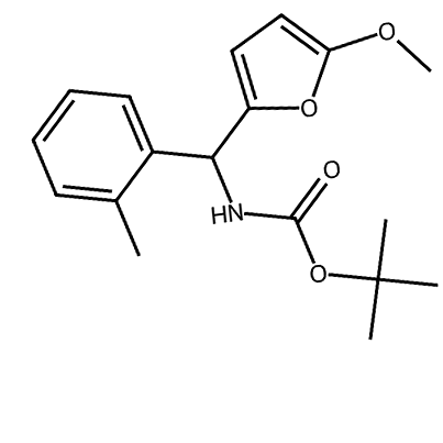 COc1ccc(C(NC(=O)OC(C)(C)C)c2ccccc2C)o1